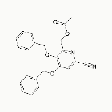 CC(=O)OCc1nc(C#N)cc(OCc2ccccc2)c1OCc1ccccc1